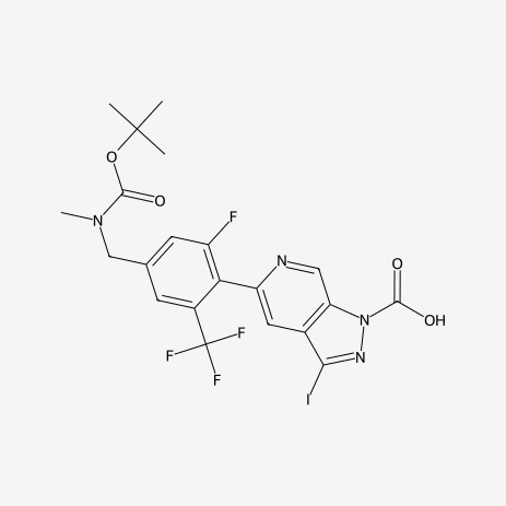 CN(Cc1cc(F)c(-c2cc3c(I)nn(C(=O)O)c3cn2)c(C(F)(F)F)c1)C(=O)OC(C)(C)C